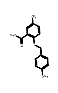 COC(=O)c1cc(C(F)(F)F)ccc1SCc1ccc(OC)cc1